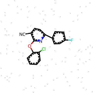 N#Cc1ccc(-c2ccc(F)cc2)nc1Oc1ccccc1Cl